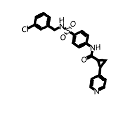 O=C(Nc1ccc(S(=O)(=O)NCc2cccc(Cl)c2)cc1)C1CC1c1ccncc1